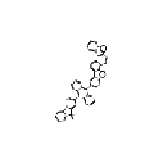 CC1(C)c2ccccc2-c2ccc(-c3c4ccccc4c(-c4ccc5oc6c(ccc7c6ccc6oc8ccccc8c67)c5c4)c4ccccc34)cc21